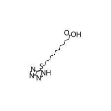 O=C(O)CCCCCCCCCCCSc1[nH]cnc2ncnc1-2